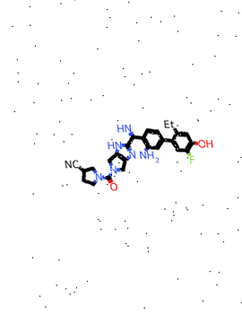 CCc1cc(O)c(F)cc1-c1ccc(C(=N)c2nc3c([nH]2)CN(C(=O)N2CCC(C#N)C2)C3)c(N)c1